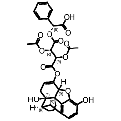 CC(=O)O[C@@H](C(=O)OC1=CC[C@@]2(O)[C@@H]3CCC[C@@]24c2c(ccc(O)c2O[C@@H]14)C3)[C@@H](OC(C)=O)C(=O)O[C@@H](C(=O)O)c1ccccc1